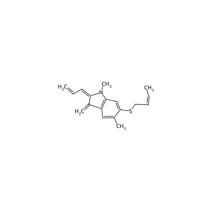 C=C/C=c1\c(=C)c2cc(C)c(SC/C=C\C)cc2n1C